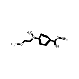 COCCN(C)c1ccc(C(=N)ON)cc1